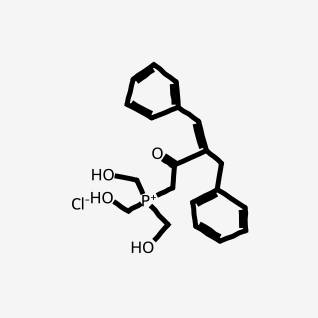 O=C(C[P+](CO)(CO)CO)C(=Cc1ccccc1)Cc1ccccc1.[Cl-]